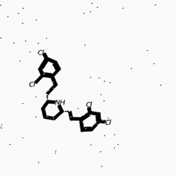 Clc1ccc(CC[C@H]2CCC[C@@H](CCc3ccc(Cl)cc3Cl)N2)c(Cl)c1